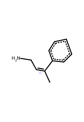 C/C(=C/CN)c1ccccc1